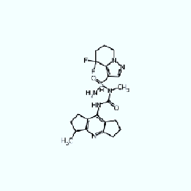 CC1CCc2c1nc1c(c2NC(=O)N(C)[SH](N)(=O)c2cnn3c2C(F)(F)CCC3)CCC1